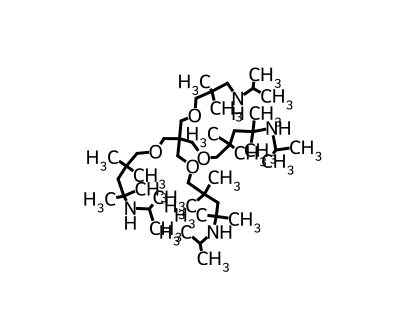 CC(C)NCC(C)(C)COCC(COCC(C)(C)CC(C)(C)NC(C)C)(COCC(C)(C)CC(C)(C)NC(C)C)COCC(C)(C)CC(C)(C)NC(C)C